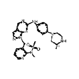 C[C@H]1CN(c2ccc(Nc3ncc4cnn(Cc5cccnc5N(C)S(C)(=O)=O)c4n3)cc2)CCN1